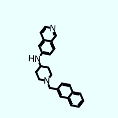 c1ccc2cc(CN3CCC(Nc4ccc5cnccc5c4)CC3)ccc2c1